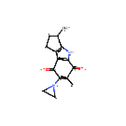 CC(=O)OC1CCc2c1[nH]c1c2C(=O)C(N2CC2)=C(C)C1=O